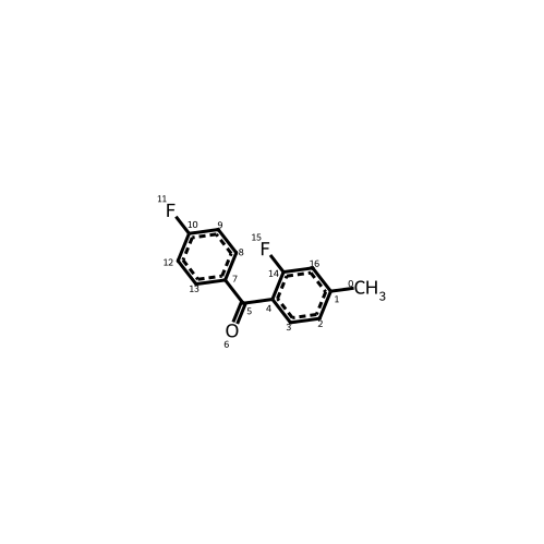 Cc1ccc(C(=O)c2ccc(F)cc2)c(F)c1